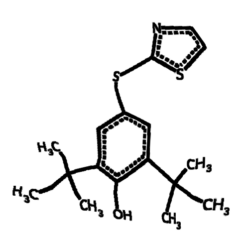 CC(C)(C)c1cc(Sc2nccs2)cc(C(C)(C)C)c1O